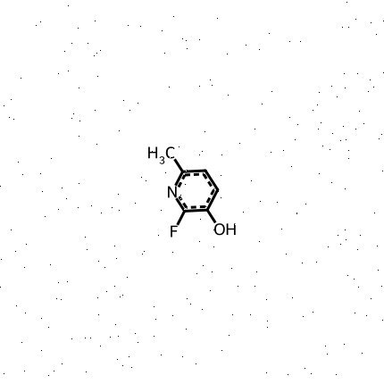 Cc1ccc(O)c(F)n1